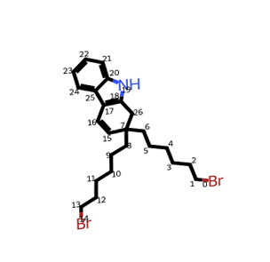 BrCCCCCCC1(CCCCCCBr)C=Cc2c([nH]c3ccccc23)C1